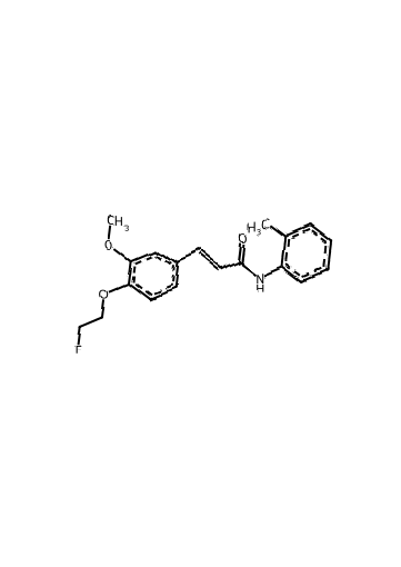 COc1cc(/C=C/C(=O)Nc2ccccc2C)ccc1OCCF